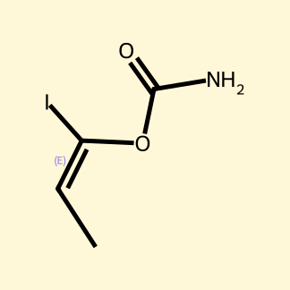 C/C=C(/I)OC(N)=O